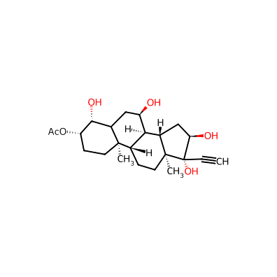 C#C[C@]1(O)[C@H](O)C[C@H]2[C@@H]3[C@H](O)CC4[C@@H](O)[C@@H](OC(C)=O)CC[C@]4(C)[C@H]3CC[C@@]21C